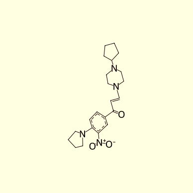 O=C(C=CN1CCN(C2CCCC2)CC1)c1ccc(N2CCCC2)c([N+](=O)[O-])c1